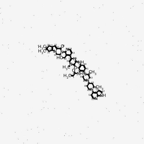 C=CC(=O)Nc1cc(Nc2nc(-c3ccnc(N4CCn5c(cc6c5CC(C)(C)C6)C4=O)c3CO)cn(C)c2=O)ccc1N1CCN(C2CCN(c3ccnc4[nH]ccc34)[C@@H](C)C2)C[C@@H]1C